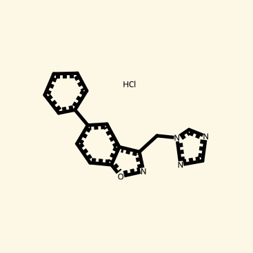 Cl.c1ccc(-c2ccc3onc(Cn4cncn4)c3c2)cc1